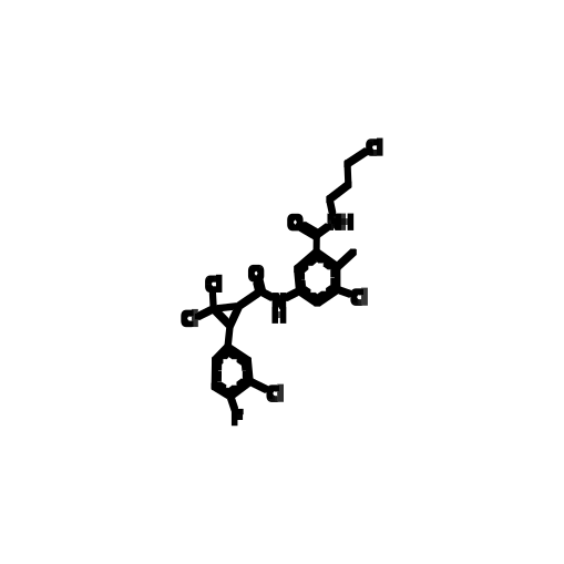 Cc1c(Cl)cc(NC(=O)C2C(c3ccc(F)c(Cl)c3)C2(Cl)Cl)cc1C(=O)NCCCCl